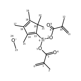 C=C(C)C(=O)[O][Ti+]([O]C(=O)C(=C)C)[C]1=C(C)C(C)=C(C)C1(C)C.C[O-]